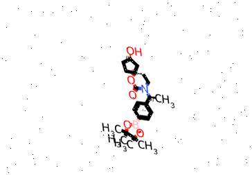 C[C@@H](c1ccc(B2OC(C)(C)C(C)(C)O2)cc1)N1CC[C@@]2(CC[C@H](O)C2)OC1=O